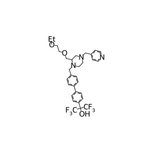 CCOCCOCC1CN(Cc2ccncc2)CCN1Cc1ccc(-c2ccc(C(O)(C(F)(F)F)C(F)(F)F)cc2)cc1